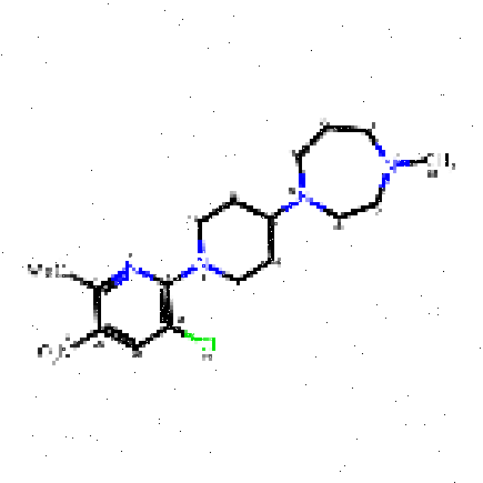 COc1nc(N2CCC(N3CCCN(C)CC3)CC2)c(Cl)cc1[N+](=O)[O-]